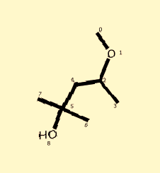 COC(C)CC(C)(C)O